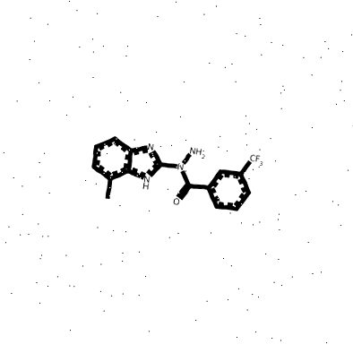 Cc1cccc2nc(N(N)C(=O)c3cccc(C(F)(F)F)c3)[nH]c12